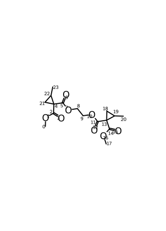 COC(=O)C1(C(=O)OCCOC(=O)C2(C(=O)OC)CC2C)CC1C